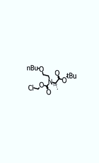 CCCCOCCN(C(=O)OCCl)[C@@H](C)C(=O)OC(C)(C)C